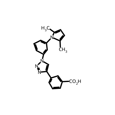 Cc1ccc(C)n1-c1cccc(-n2cc(-c3cccc(C(=O)O)c3)nn2)c1